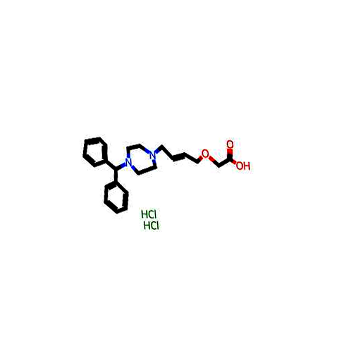 Cl.Cl.O=C(O)COCC=CCN1CCN(C(c2ccccc2)c2ccccc2)CC1